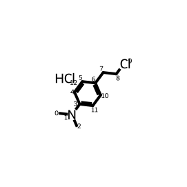 CN(C)c1ccc(CCCl)cc1.Cl